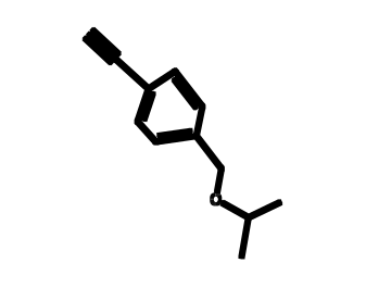 C#Cc1ccc(COC(C)C)cc1